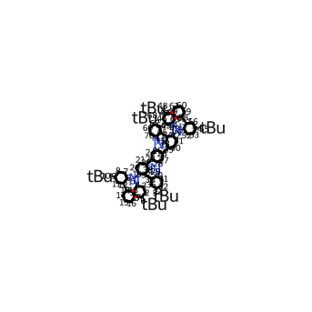 CC(C)(C)c1ccc(N(c2ccc(C(C)(C)C)cc2-c2ccccc2)c2ccc3c4cc5c(cc4n4c6ccc(C(C)(C)C)cc6c2c34)c2ccc(N(c3ccc(C(C)(C)C)cc3)c3ccc(C(C)(C)C)cc3-c3ccccc3)c3c4cc(C(C)(C)C)ccc4n5c23)cc1